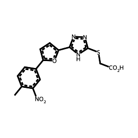 Cc1ccc(-c2ccc(-c3nnc(SCC(=O)O)[nH]3)o2)cc1[N+](=O)[O-]